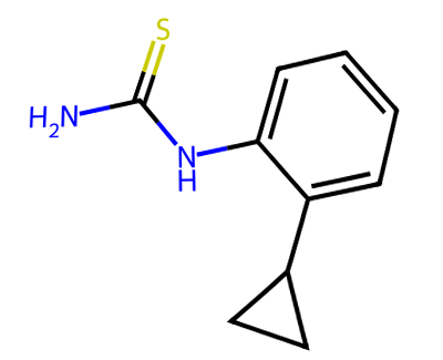 NC(=S)Nc1ccccc1C1CC1